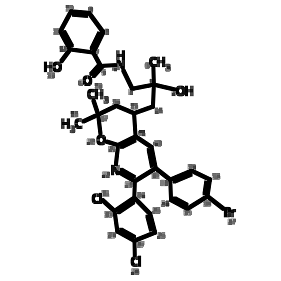 CC(O)(CNC(=O)c1ccccc1O)CC1CC(C)(C)Oc2nc(-c3ccc(Cl)cc3Cl)c(-c3ccc(Br)cc3)cc21